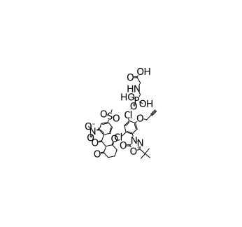 C#CCOc1cc(-n2nc(C(C)(C)C)oc2=O)c(Cl)cc1Cl.CS(=O)(=O)c1ccc(C(=O)C2C(=O)CCCC2=O)c([N+](=O)[O-])c1.O=C(O)CNCP(=O)(O)O